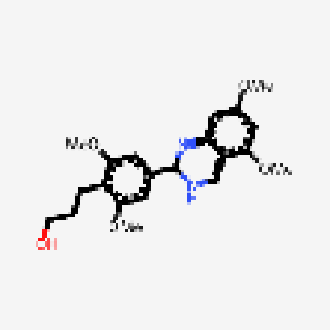 COc1cc(OC)c2c(c1)=NC(c1cc(OC)c(CCCO)c(OC)c1)NC=2